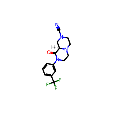 N#CN1CCN2CCN(c3cccc(C(F)(F)F)c3)C(=O)[C@H]2C1